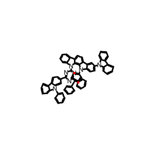 c1ccc(-c2ccc(-n3c4ccc(-n5c6ccccc6c6ccccc65)cc4c4ccc5c6ccccc6n(-c6nc(-c7ccccc7)nc(-c7ccc8c9ccccc9n(-c9ccccc9)c8c7)n6)c5c43)cc2)cc1